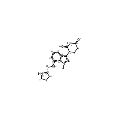 Cn1nc(C2CCC(=O)NC2=O)c2cccc(NC[C@@H]3CCCN3)c21